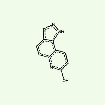 Oc1ccc2c(ccc3cn[nH]c32)n1